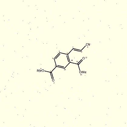 COC(=O)c1ccc(/C=C/C#N)c(C(=O)OC)c1